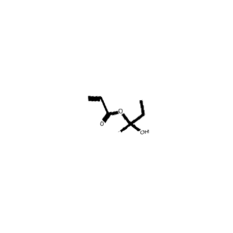 [CH2]C(O)(CC)OC(=O)C=C